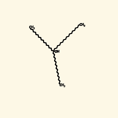 CCCCCCCCCCCCCCCCCCC(O)(CCCCCCCCCCCCCCCCCC)CCCCCCCCCCCCCCCCCC